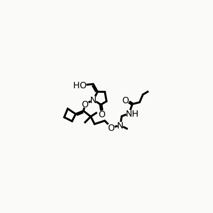 CCCC(=O)NCN(C)OCCC(C)(C)C(ON1C(=O)CC/C1=C/O)=C1CCC1